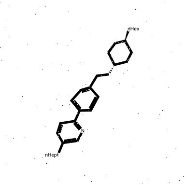 CCCCCCCc1ccc(-c2ccc(CC[C@H]3CC[C@H](CCCCCC)CC3)cc2)nc1